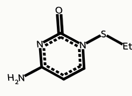 CCSn1ccc(N)nc1=O